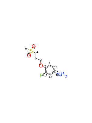 CS(=O)(=O)CCCOc1ccc(N)cc1F